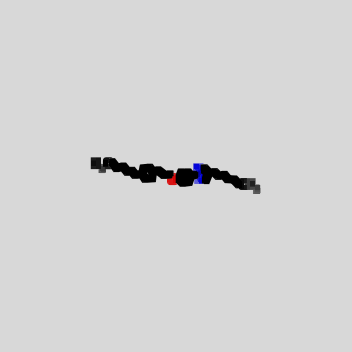 CCCCCCCc1cnc(-c2ccc(OCCCC3CCC(CCCCCCC)CC3)cc2)nc1